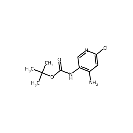 CC(C)(C)OC(=O)Nc1cnc(Cl)cc1N